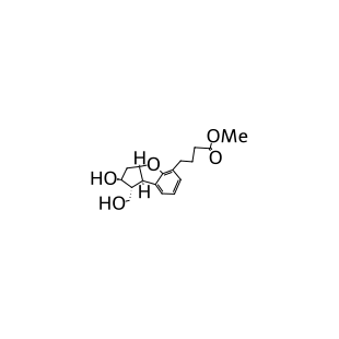 COC(=O)CCCc1cccc2c1O[C@@H]1C[C@H](O)[C@@H](CO)[C@H]21